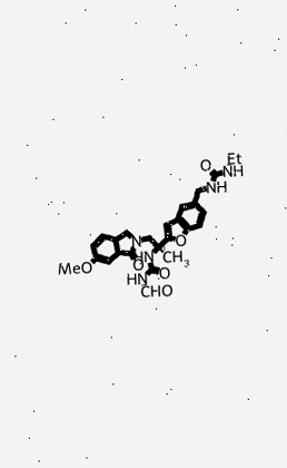 CCNC(=O)NCc1ccc2oc([C@](C)(CN3CC4C=CC(OC)=CC4C3=O)NC(=O)NC=O)cc2c1